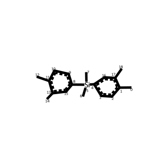 Cc1ccc([Si](C)(C)c2ccc(C)c(C)c2)cc1C